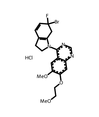 COCCOc1cc2ncnc(N3CCC4=C3CC(F)(Br)C=C4)c2cc1OC.Cl